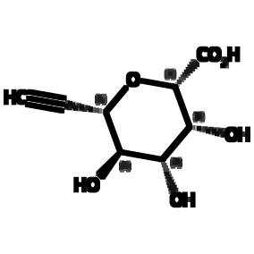 C#C[C@@H]1O[C@H](C(=O)O)[C@H](O)[C@H](O)[C@H]1O